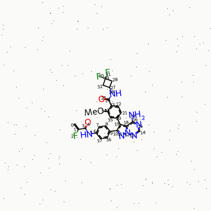 C=C(F)C(=O)Nc1ccc(-c2nn3ncnc(N)c3c2-c2ccc(C(=O)NC3CC(F)(F)C3)c(OC)c2)cc1